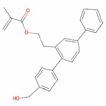 C=C(C)C(=O)OCCc1cc(-c2ccccc2)ccc1-c1ccc(CO)cc1